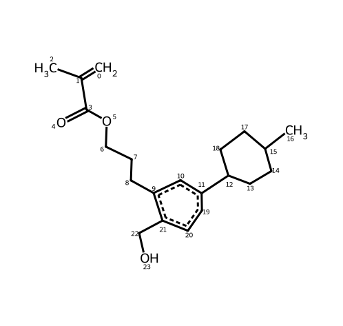 C=C(C)C(=O)OCCCc1cc(C2CCC(C)CC2)ccc1CO